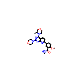 CNC(=O)c1cc(-c2ccc3c(N4CCOCC4C)nc(N4CCOCC4)nc3n2)ccc1OC